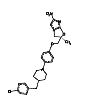 C[C@]1(COc2ccc(N3CCC(Cc4ccc(Cl)cc4)CC3)cc2)Cn2cc([N+](=O)[O-])nc2O1